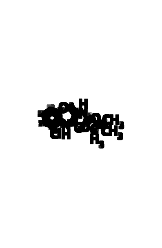 CC(C)(C)OC(=O)N[C@H]1COc2cccc(Cl)c2NC1=O